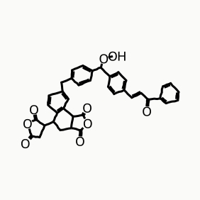 O=C1CC(C2CC3C(=O)OC(=O)C3c3cc(Cc4ccc(C(OO)c5ccc(/C=C/C(=O)c6ccccc6)cc5)cc4)ccc32)C(=O)O1